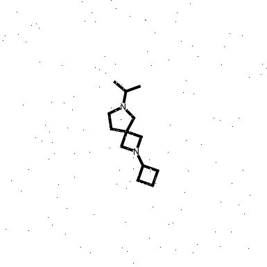 CC(C)N1CCC2(C1)CN(C1CCC1)C2